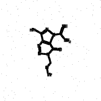 [CH2]C([CH2])OCn1nnc2c(CCC)nn(C(=N)N)c2c1=O